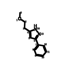 COCCc1cc(-c2ccccc2)n[nH]1